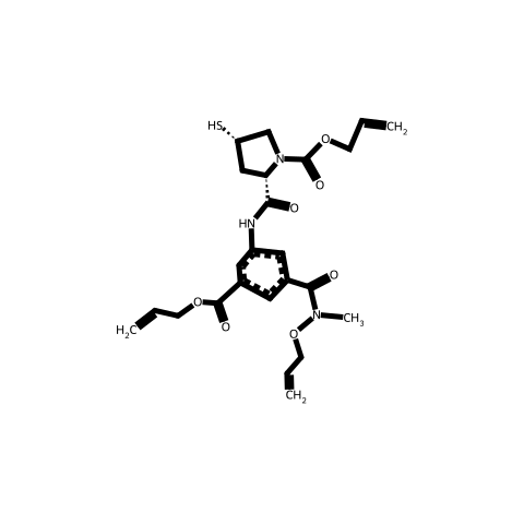 C=CCOC(=O)c1cc(NC(=O)[C@@H]2C[C@H](S)CN2C(=O)OCC=C)cc(C(=O)N(C)OCC=C)c1